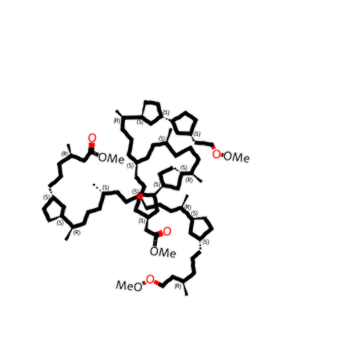 COOCC[C@H](C)CCC[C@H]1CC[C@H]([C@H](C)CCC[C@@H](CC[C@@H](C)CCC[C@@H](C)[C@H]2CC[C@H](CCC[C@@H](C)CC(=O)OC)C2)CC[C@@H](CCC[C@@H](C)[C@H]2CC[C@H](C3CC[C@H](CCOOC)C3)C2)CC[C@@H](C)CCC[C@@H](C)[C@H]2CC[C@H](C3CC[C@H](CC(=O)OC)C3)C2)C1